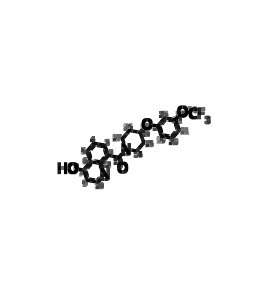 O=C(c1cccc2c(O)ccnc12)N1CCC(Oc2cccc(OC(F)(F)F)c2)CC1